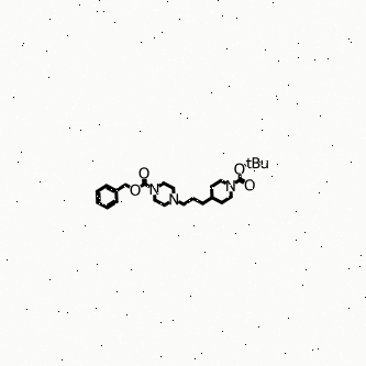 CC(C)(C)OC(=O)N1CCC(CCCN2CCN(C(=O)OCc3ccccc3)CC2)CC1